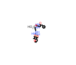 Cc1c(C)c(S(=O)(=O)NC(=N)NCCC[C@H](NC(=O)c2ccc(Cc3ccccc3)c(=O)[nH]2)C(=O)O)c(C)c2c1OC(C)(C)CC2